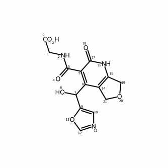 O=C(O)CNC(=O)c1c(C(O)c2cnco2)c2c([nH]c1=O)COC2